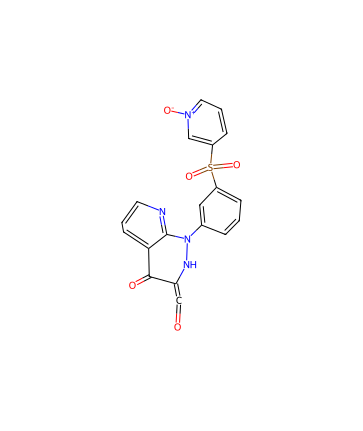 O=C=C1NN(c2cccc(S(=O)(=O)c3ccc[n+]([O-])c3)c2)c2ncccc2C1=O